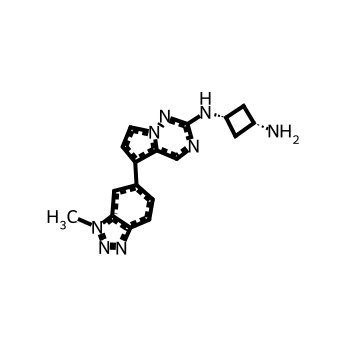 Cn1nnc2ccc(-c3ccn4nc(N[C@H]5C[C@@H](N)C5)ncc34)cc21